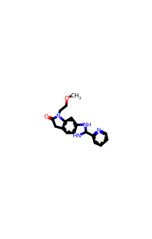 COCCN1C(=O)Cc2cc3c(cc21)NC(c1ccccn1)N3